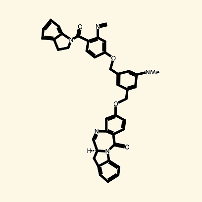 C=Nc1cc(OCc2cc(COc3ccc4c(c3)N=C[C@@H]3Cc5ccccc5N3C4=O)cc(NC)c2)ccc1C(=O)N1CCc2ccccc21